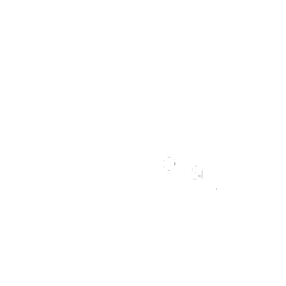 C#Cc1ccc(CO[Si](C)(C)C(C)(C)C)cc1